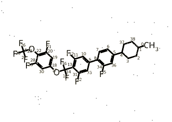 CC1CCC(c2ccc(-c3cc(F)c(C(F)(F)Oc4cc(F)c(OC(F)(F)F)c(F)c4)c(F)c3)c(F)c2)CC1